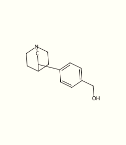 OCc1ccc(C2CN3CCC2CC3)cc1